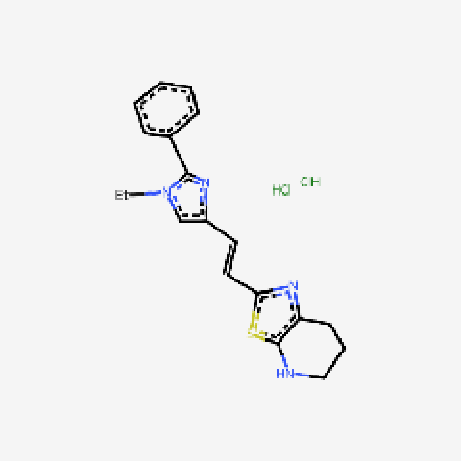 CCn1cc(C=Cc2nc3c(s2)NCCC3)nc1-c1ccccc1.Cl.Cl